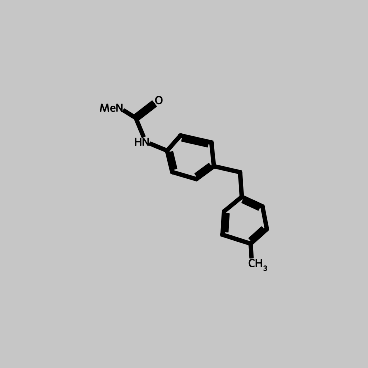 CNC(=O)Nc1ccc(Cc2ccc(C)cc2)cc1